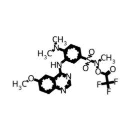 COc1ccc2ncnc(Nc3cc(S(=O)(=O)N(C)OC(=O)C(F)(F)F)ccc3N(C)C)c2c1